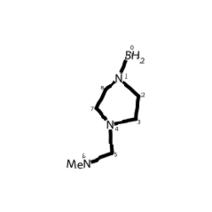 BN1CCN(CNC)CC1